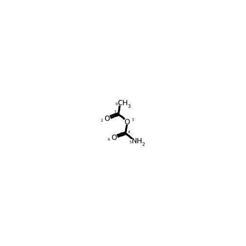 CC(=O)OC(N)=O